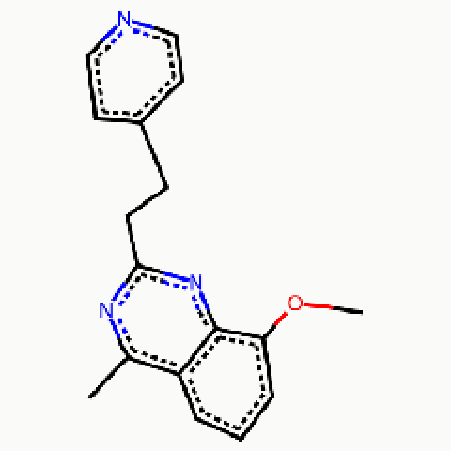 COc1cccc2c(C)nc(CCc3ccncc3)nc12